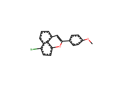 COc1ccc(C2=Cc3cccc4c(Br)ccc(c34)O2)cc1